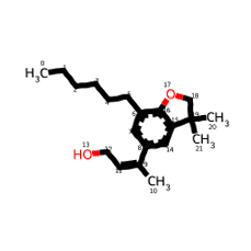 CCCCCCc1cc(/C(C)=C\CO)cc2c1OCC2(C)C